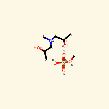 CC(O)CN(C)CC(C)O.COS(=O)(=O)O